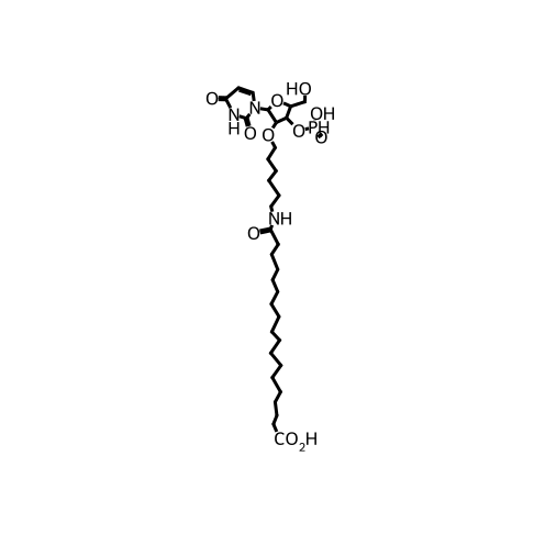 O=C(O)CCCCCCCCCCCCCCCCC(=O)NCCCCCCOC1C(O[PH](=O)O)C(CO)OC1n1ccc(=O)[nH]c1=O